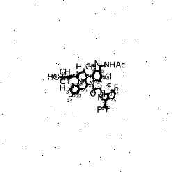 CC(=O)Nc1nn(C)c2c(-c3ccc(C#CC(C)(C)O)nc3C(Cc3cc(F)cc(F)c3)NC(=O)Cn3nc(C(F)F)c4c3C(F)(F)CC4)ccc(Cl)c12